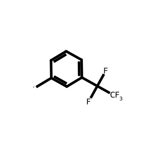 [CH2]c1cccc(C(F)(F)C(F)(F)F)c1